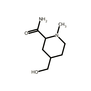 CN1CC[C](CO)CC1C(N)=O